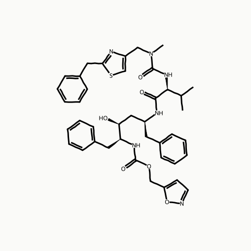 CC(C)[C@H](NC(=O)N(C)Cc1csc(Cc2ccccc2)n1)C(=O)N[C@@H](Cc1ccccc1)C[C@H](O)[C@H](Cc1ccccc1)NC(=O)OCc1ccno1